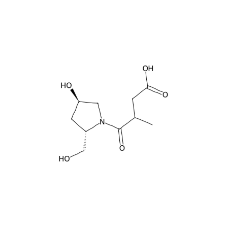 CC(CC(=O)O)C(=O)N1C[C@H](O)C[C@H]1CO